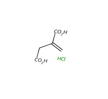 C=C(CC(=O)O)C(=O)O.Cl